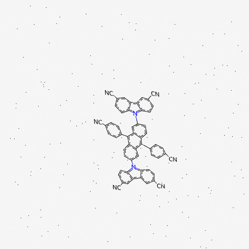 N#Cc1ccc(-c2c3ccc(-n4c5ccc(C#N)cc5c5cc(C#N)ccc54)cc3c(-c3ccc(C#N)cc3)c3ccc(-n4c5ccc(C#N)cc5c5cc(C#N)ccc54)cc23)cc1